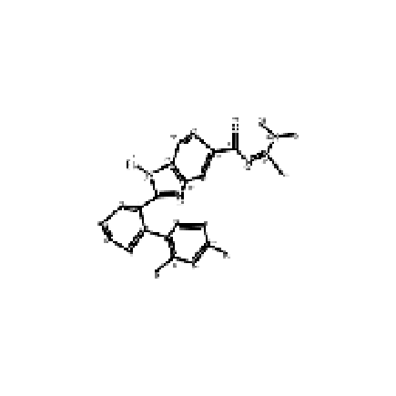 CCn1c(-c2ccccc2-c2ccc(C)cc2C)nc2cc(C(=O)N=C(C)N(C)C)ccc21